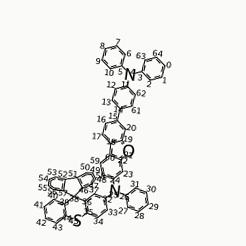 c1ccc(N(c2ccccc2)c2ccc(-c3ccc4c(c3)oc3cc(N(c5ccccc5)c5ccc6c(c5)C5(c7ccccc7S6)c6ccccc6-c6ccccc65)ccc34)cc2)cc1